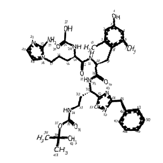 Cc1cc(O)cc(C)c1C[C@H](NC(=O)[C@@H](CCCn1ccnc1N)NC(=O)O)C(=O)N[C@@H](CCNC(=O)OC(C)(C)C)c1nc(Cc2ccccc2)no1